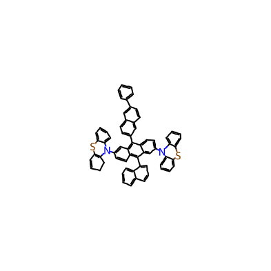 C1=CC2=C(CC1)N(c1ccc3c(-c4cccc5ccccc45)c4cc(N5c6ccccc6Sc6ccccc65)ccc4c(-c4ccc5cc(-c6ccccc6)ccc5c4)c3c1)c1ccccc1S2